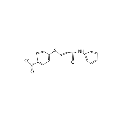 O=C(C=CSc1ccc([N+](=O)[O-])cc1)Nc1ccccc1